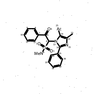 CNS(=O)(=O)C(C(=O)c1ccccc1)n1c(-c2ccccc2)nc(C)c1C(C)=O